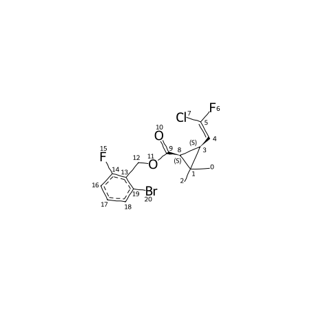 CC1(C)[C@H](C=C(F)Cl)[C@@H]1C(=O)OCc1c(F)cccc1Br